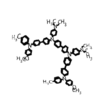 CCN(CC)c1ccc(N(c2ccc(-c3ccc(N(c4ccc(C)cc4)c4ccc(OC)cc4)cc3)cc2)c2ccc(-c3ccc(N(c4ccc(-c5ccc(N(c6ccc(C)cc6)c6ccc(OC)cc6)cc5)cc4)c4ccc(N(CC)CC)cc4)cc3)cc2)cc1